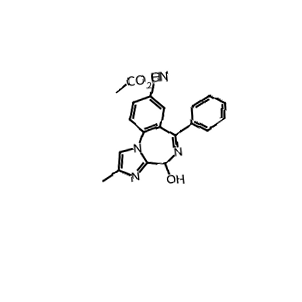 CC(=O)O.Cc1cn2c(n1)C(O)N=C(c1ccccc1)c1cc(C#N)ccc1-2